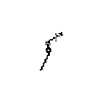 CCCCCCCCCCc1ccc(-c2noc(CCCNC(=O)OC(C)(C)C)n2)cc1